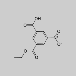 CCOC(=O)c1cc(C(=O)O)cc([N+](=O)[O-])c1